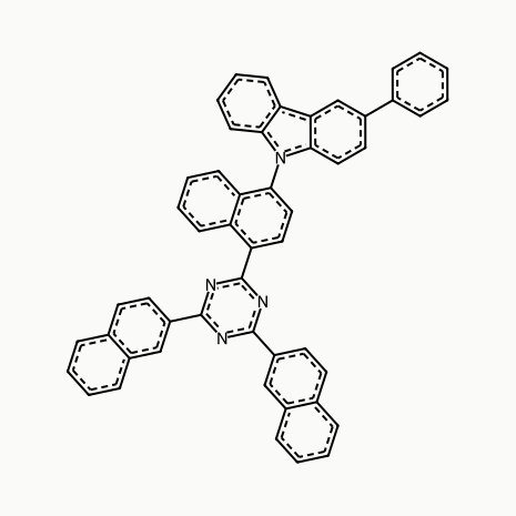 c1ccc(-c2ccc3c(c2)c2ccccc2n3-c2ccc(-c3nc(-c4ccc5ccccc5c4)nc(-c4ccc5ccccc5c4)n3)c3ccccc23)cc1